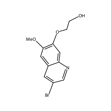 COc1cc2cc(Br)cnc2cc1OCCO